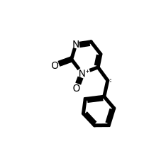 O=C1N=CC=C([C]c2ccccc2)[N+]1=O